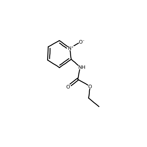 CCOC(=O)Nc1cccc[n+]1[O-]